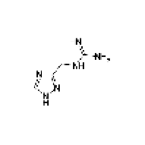 N=C(N)NCc1nc[nH]n1